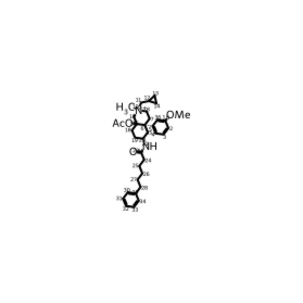 COc1cccc([C@@]23CC[N@+](C)(CC4CC4)CC2(OC(C)=O)CC[C@H](NC(=O)CCCCCc2ccccc2)C3)c1